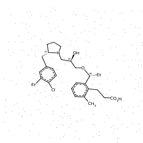 CCc1cc(C[C@@H]2CCCN2C[C@@H](O)CO[C@H](CC)c2cccc(C)c2CCC(=O)O)ccc1Cl